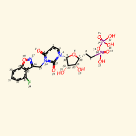 O=c1ccn([C@@H]2O[C@H](CCP(=O)(O)OP(=O)(O)O)[C@H](O)[C@@H]2O)c(=O)n1Cc1noc2cccc(F)c12